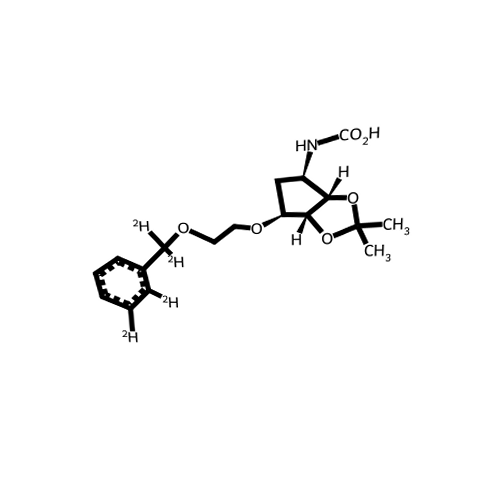 [2H]c1cccc(C([2H])([2H])OCCO[C@H]2C[C@@H](NC(=O)O)[C@@H]3OC(C)(C)O[C@@H]32)c1[2H]